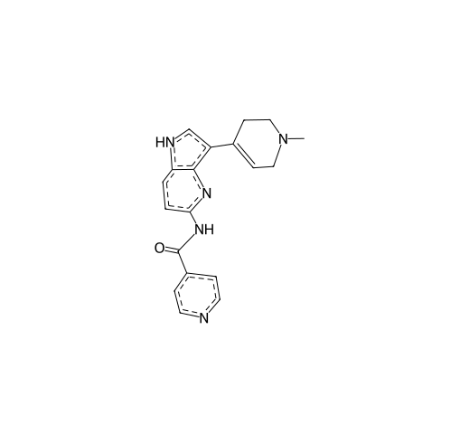 CN1CC=C(c2c[nH]c3ccc(NC(=O)c4ccncc4)nc23)CC1